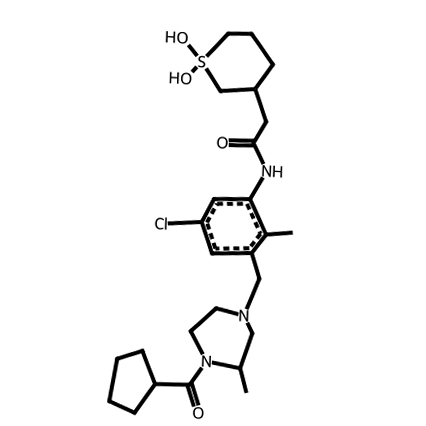 Cc1c(CN2CCN(C(=O)C3CCCC3)C(C)C2)cc(Cl)cc1NC(=O)CC1CCCS(O)(O)C1